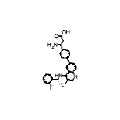 C[C@@H](Nc1c(Cl)cnc2ccc(-c3ccc(C(N)CC(=O)O)cc3)cc12)c1ccccc1F